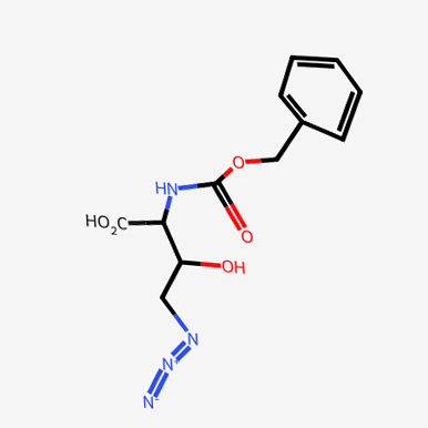 [N-]=[N+]=NCC(O)C(NC(=O)OCc1ccccc1)C(=O)O